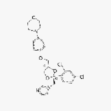 Clc1ccc([C@]2(Cn3ccnc3)OC[C@@H](COc3ccc(N4CCOCC4)cc3)O2)c(Cl)c1